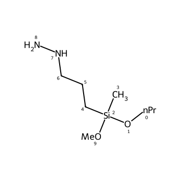 CCCO[Si](C)(CCCNN)OC